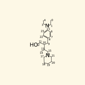 CCN(CC)c1ccc(CC(CO)C(C)CN2CCCCC2)cc1